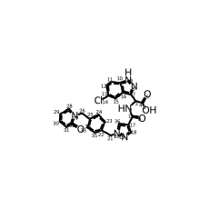 O=C(NC(C(=O)O)c1n[nH]c2ccc(Cl)cc12)c1cnn(Cc2ccc(Cn3ccccc3=O)cc2)c1